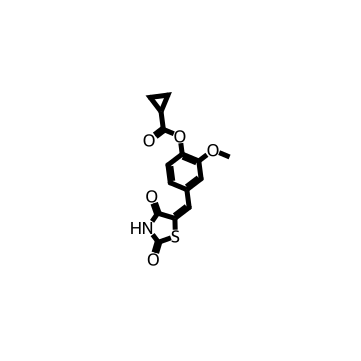 COc1cc(C=C2SC(=O)NC2=O)ccc1OC(=O)C1CC1